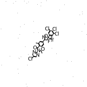 CC(=O)N(C(=O)c1ccc(C2=NOC(c3cc(Cl)c(Cl)c(Cl)c3)(C(F)(F)F)C2)cc1C)c1ncc(Cl)cn1